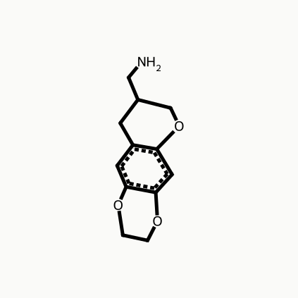 NCC1COc2cc3c(cc2C1)OCCO3